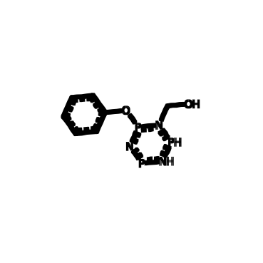 OCn1[pH][nH]pnp1Oc1ccccc1